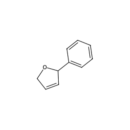 C1=CC(c2ccccc2)OC1